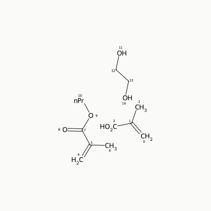 C=C(C)C(=O)O.C=C(C)C(=O)OCCC.OCCO